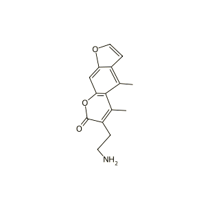 Cc1c(CCN)c(=O)oc2cc3occc3c(C)c12